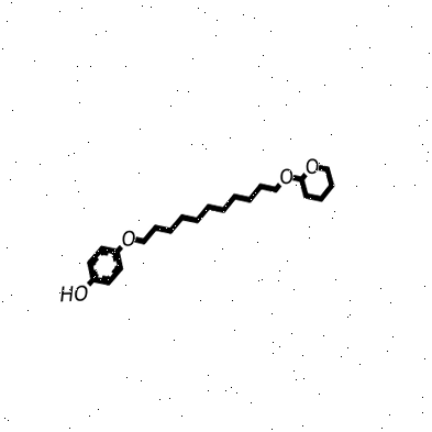 Oc1ccc(OCCCCCCCCCCCOC2CCCCO2)cc1